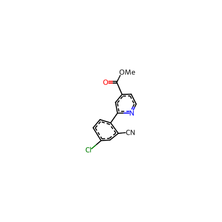 COC(=O)c1ccnc(-c2ccc(Cl)cc2C#N)c1